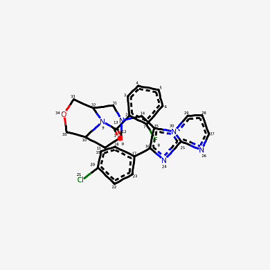 O=C(c1ccccc1F)N1C2CCN(Cc3c(-c4ccc(Cl)cc4)nc4ncccn34)CC1COC2